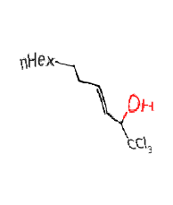 CCCCCCCC/C=C/C(O)C(Cl)(Cl)Cl